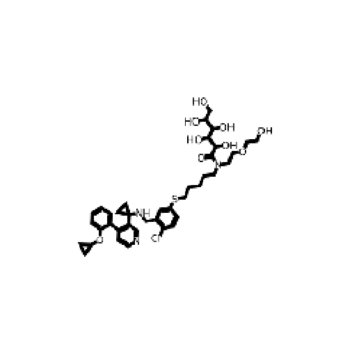 O=C(C(O)C(O)C(O)C(O)CO)N(CCCCCSc1ccc(Cl)c(CNC2(c3cnccc3-c3ccccc3OC3CC3)CC2)c1)CCOCCO